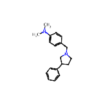 CN(C)c1ccc(CN2CCC(c3ccccc3)C2)cc1